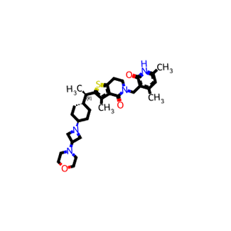 Cc1cc(C)c(CN2CCc3sc([C@H](C)[C@H]4CC[C@H](N5CC(N6CCOCC6)C5)CC4)c(C)c3C2=O)c(=O)[nH]1